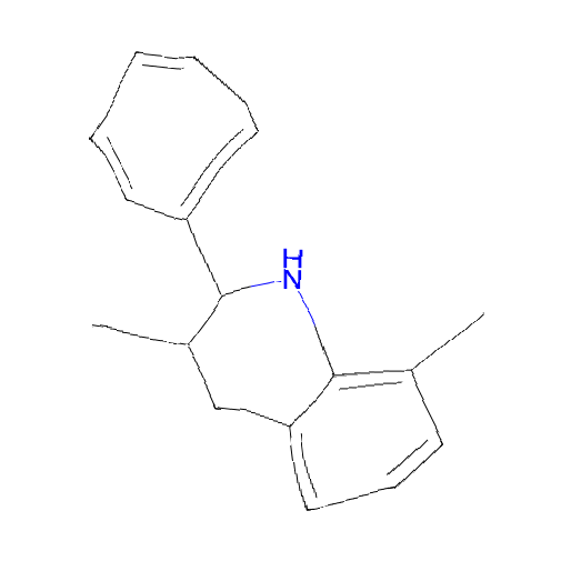 Cc1cccc2c1NC(c1ccccc1)C(C)C2